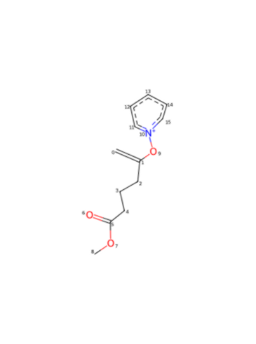 C=C(CCCC(=O)OC)O[n+]1ccccc1